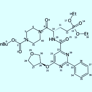 CCCCOC(=O)N1CCN(C(=O)[C@H](CCP(=O)(OCC)OCC)NC(=O)c2cc(O[C@H]3CCOC3)nc(-c3ccccc3)n2)CC1